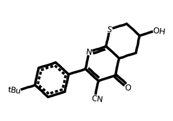 CC(C)(C)c1ccc(C2=C(C#N)C(=O)C3CC(O)CSC3=N2)cc1